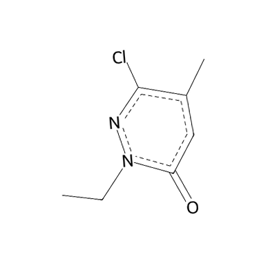 CCn1nc(Cl)c(C)cc1=O